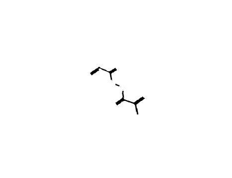 C=CC(=O)OOC(=O)C(=C)C